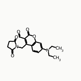 CCN(CC)c1ccc2c(CN3C(=O)CCC3=O)c(C=O)c(=O)oc2c1